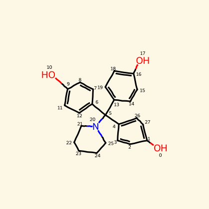 Oc1ccc(C(c2ccc(O)cc2)(c2ccc(O)cc2)N2CCCCC2)cc1